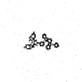 CC1CC2CC(C1)CC(C)(c1nc(-c3cccc(-n4c5ccccc5c5ccc6c(c7ccccc7n6-c6ccccc6)c54)c3)nc(C34CC(C)CC(C3)C3CC3C4)n1)C2